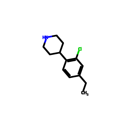 CCc1ccc(C2CCNCC2)c(Cl)c1